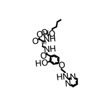 CCCCOC(=O)N[C@@H](CNC(=O)c1ccc(OCCNc2ncccn2)cc1O)C(=O)O